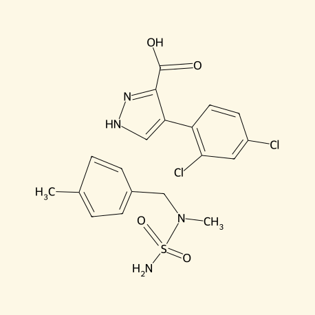 Cc1ccc(CN(C)S(N)(=O)=O)cc1.O=C(O)c1n[nH]cc1-c1ccc(Cl)cc1Cl